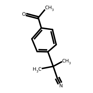 CC(=O)c1ccc(C(C)(C)C#N)cc1